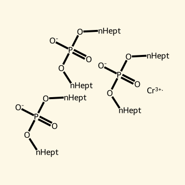 CCCCCCCOP(=O)([O-])OCCCCCCC.CCCCCCCOP(=O)([O-])OCCCCCCC.CCCCCCCOP(=O)([O-])OCCCCCCC.[Cr+3]